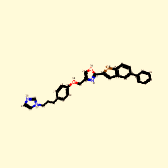 c1ccc(-c2ccc3sc(-c4nc(COc5ccc(CCCn6ccnc6)cc5)co4)cc3c2)cc1